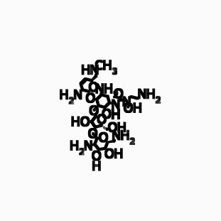 CNC[C@@H]1C=C[C@@H](N)[C@@H](O[C@H]2[C@H](O[C@@H]3O[C@H](CO)[C@@H](O[C@H]4O[C@@H](CN)[C@@H](O)[C@H](O)[C@H]4N)[C@H]3O)[C@@H](O)[C@H](NC(=O)N(O)CCN)C[C@@H]2N)O1